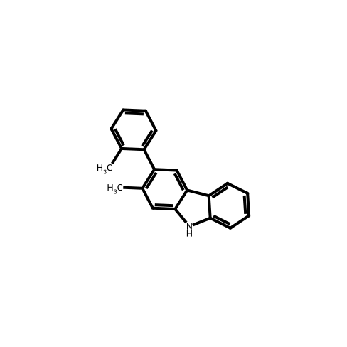 Cc1ccccc1-c1cc2c(cc1C)[nH]c1ccccc12